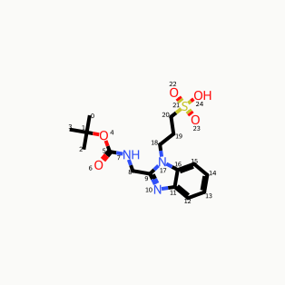 CC(C)(C)OC(=O)NCc1nc2ccccc2n1CCCS(=O)(=O)O